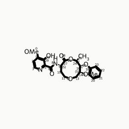 COc1ccnc(C(=O)N[C@H]2CCOC[C@H](OC)[C@@H](Oc3ccccc3)[C@H](C)OC2=O)c1O